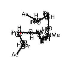 CNC(CCCCNC(=O)CCCCCCCCC(=O)NC(CC(C)C)C(=O)OCCCCCCOC(=O)C(CC(C)C)NC(=O)CCCCCCCCC(C)=O)C(=O)OCCNCC(CO)(CNCCOC(=O)C(CCCCNC(=O)CCCCCCCCC(=O)NC(CC(C)C)C(=O)OCCCCCCOC(=O)C(CC(C)C)NC(=O)CCCCCCCCC(C)=O)NC)CN1CC1